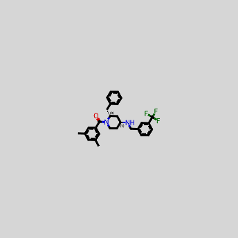 Cc1cc(C)cc(C(=O)N2CC[C@H](NCc3cccc(C(F)(F)F)c3)C[C@H]2Cc2ccccc2)c1